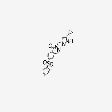 O=c1c2ccc(S(=O)(=O)c3ccccc3)cc2cnn1Cc1cc(C2CC2)[nH]n1